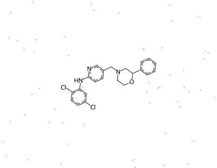 Clc1ccc(Cl)c(Nc2ccc(CN3CCOC(c4ccccc4)C3)cn2)c1